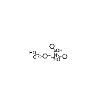 C[C@H](CCc1ccc(OCC(=O)O)cc1)N(C[C@@H](O)c1ccccc1)C[C@@H](O)c1ccccc1